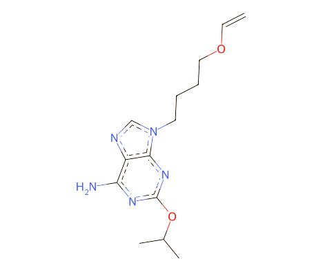 C=COCCCCn1cnc2c(N)nc(OC(C)C)nc21